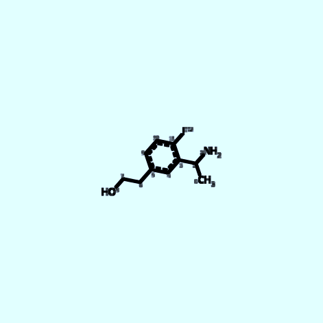 CC(N)c1cc(CCO)ccc1F